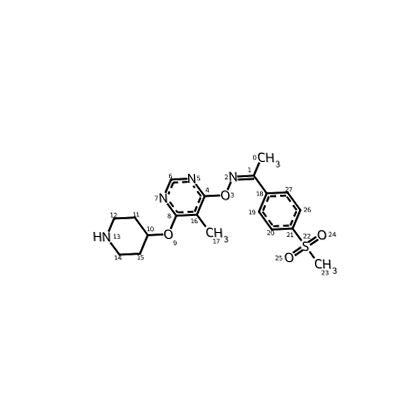 CC(=NOc1ncnc(OC2CCNCC2)c1C)c1ccc(S(C)(=O)=O)cc1